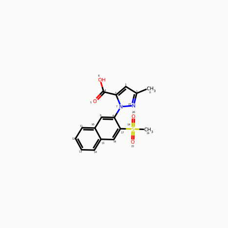 Cc1cc(C(=O)O)n(-c2cc3ccccc3cc2S(C)(=O)=O)n1